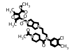 COC(=O)c1c(C)oc(C)c1S(=O)(=O)N1CC2CN(CCCN(C(=O)C3CCN(C(C)=O)CC3)c3ccc(C)c(Cl)c3)CC2C1